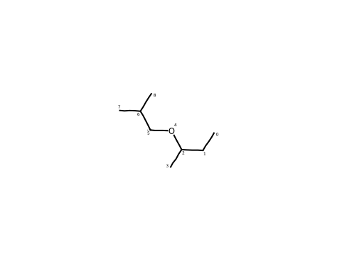 CCC(C)O[CH]C(C)C